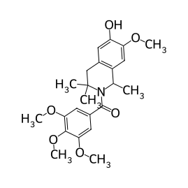 COc1cc2c(cc1O)CC(C)(C)N(C(=O)c1cc(OC)c(OC)c(OC)c1)C2C